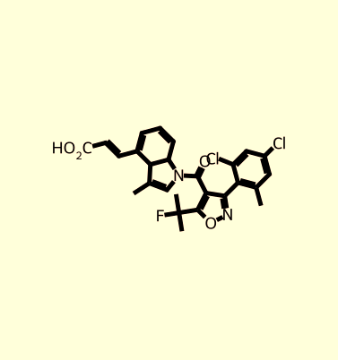 CC1=CN(C(=O)c2c(-c3c(C)cc(Cl)cc3Cl)noc2C(C)(C)F)C2C=CC=C(/C=C/C(=O)O)C12